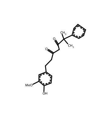 COc1cc(CCC(=O)CC(=O)C(C)(C)c2ccccc2)ccc1O